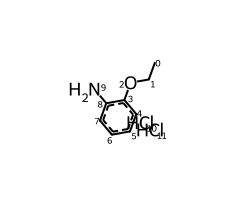 CCOc1ccccc1N.Cl.Cl